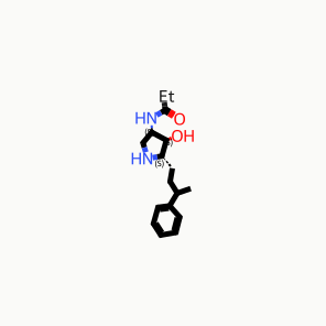 CCC(=O)N[C@H]1CN[C@@H](CCC(C)c2ccccc2)[C@@H]1O